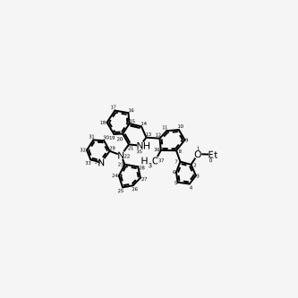 CCOc1ccccc1-c1cccc(C2C=c3ccccc3=C(N(c3ccccc3)c3ccccn3)N2)c1C